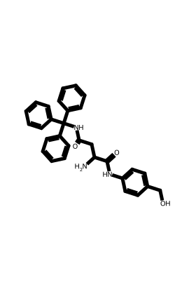 NC(CC(=O)NC(c1ccccc1)(c1ccccc1)c1ccccc1)C(=O)Nc1ccc(CO)cc1